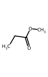 C[CH]C(=O)OC